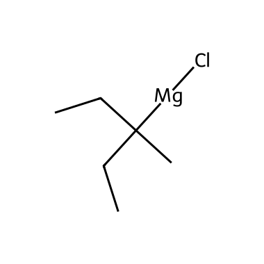 CC[C](C)(CC)[Mg][Cl]